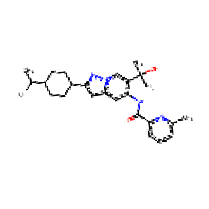 Cc1cccc(C(=O)Nc2cc3cc(C4CCC(C(C)C)CC4)nn3cc2C(C)(C)O)n1